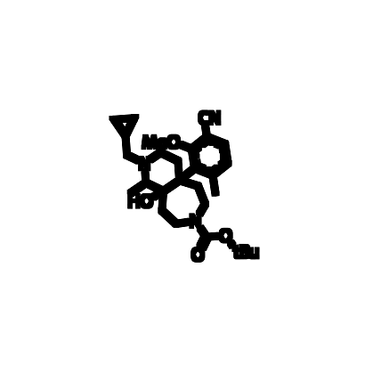 COc1c(C#N)ccc(C)c1C12CCN(C(=O)OC(C)(C)C)CCC1(O)C(C)N(CC1CC1)CC2